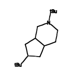 CC(C)(C)C1CC2CCN(C(C)(C)C)CC2C1